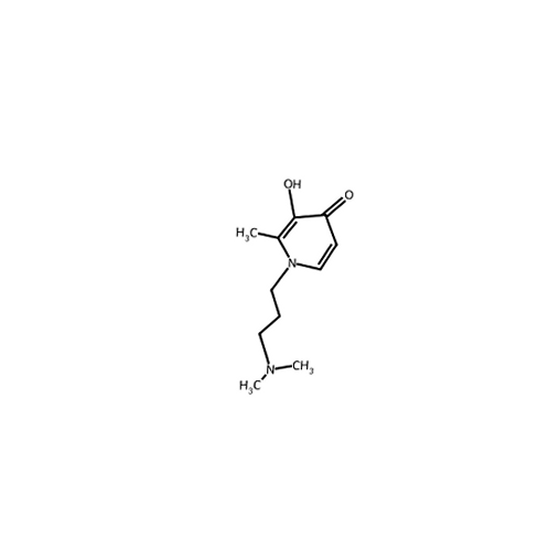 Cc1c(O)c(=O)ccn1CCCN(C)C